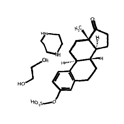 C1CNCCN1.C[C@]12CC[C@@H]3c4ccc(OS(=O)(=O)O)cc4CC[C@H]3[C@@H]1CCC2=O.OCCO